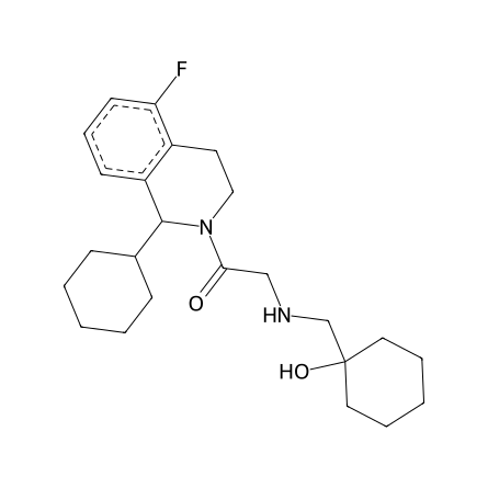 O=C(CNCC1(O)CCCCC1)N1CCc2c(F)cccc2C1C1CCCCC1